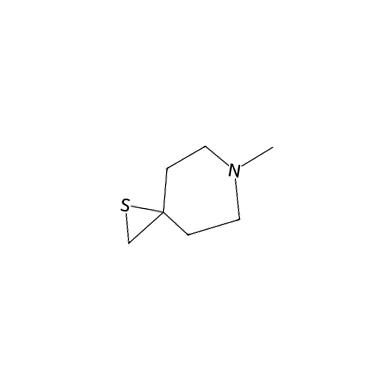 CN1CCC2(CC1)CS2